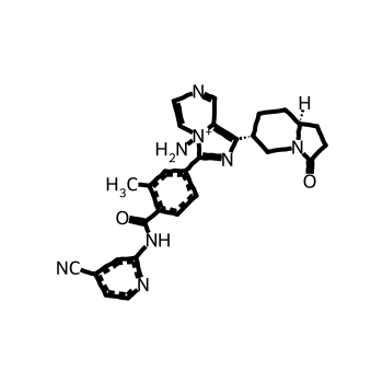 Cc1cc(C2=NC([C@@H]3CC[C@H]4CCC(=O)N4C3)=C3C=NC=C[N+]23N)ccc1C(=O)Nc1cc(C#N)ccn1